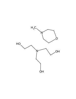 CN1CCOCC1.OCCN(CCO)CCO